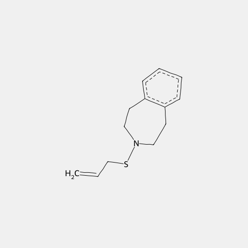 C=CCSN1CCc2ccccc2CC1